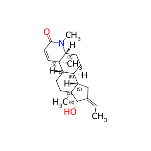 CC=C1C[C@H]2[C@@H]3CC[C@H]4N(C)C(=O)C=C[C@]4(C)[C@H]3CC[C@]2(C)[C@H]1O